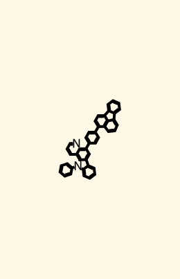 c1ccc(-n2c3ccccc3c3cc(-c4ccc(-c5ccc6c7c(cccc57)-c5ccccc5-6)cc4)c4ncccc4c32)cc1